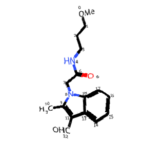 COCCCNC(=O)Cn1c(C)c(C=O)c2ccccc21